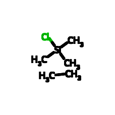 CC.C[Si](C)(C)Cl